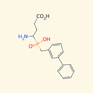 NC(CCC(=O)O)P(=O)(O)Cc1cccc(-c2ccccc2)c1